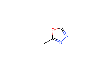 [CH2]c1nnco1